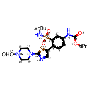 CC(C)OC(=O)Nc1ccc(-c2cnc(N3CCN(C=O)CC3)s2)c(S(=O)(=O)NC(C)(C)C)c1